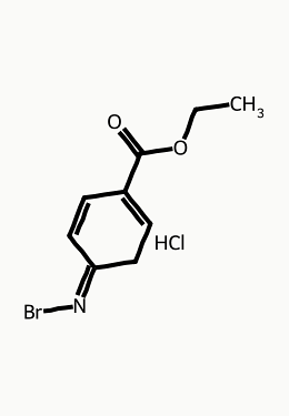 CCOC(=O)C1=CCC(=NBr)C=C1.Cl